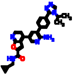 CC(C)n1cnnc1-c1ccc(-c2cc(-c3ccnc4oc(C(=O)NCC5CC5)cc34)cnc2N)cc1